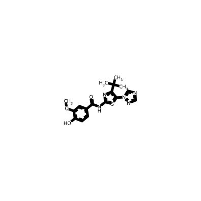 COc1cc(C(=O)Nc2nc(C(C)(C)C)c(-n3cncn3)s2)ccc1O